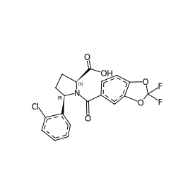 O=C(O)[C@@H]1CC[C@H](c2ccccc2Cl)N1C(=O)c1ccc2c(c1)OC(F)(F)O2